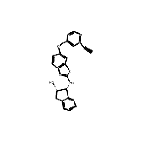 C#Cc1cc(Oc2ccc3nc(N[C@@H]4c5ccccc5C[C@@H]4O)sc3c2)ccn1